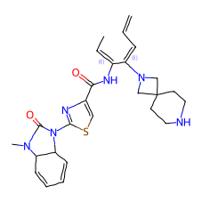 C=C/C=C(\C(=C/C)NC(=O)c1csc(N2C(=O)N(C)C3C=CC=CC32)n1)N1CC2(CCNCC2)C1